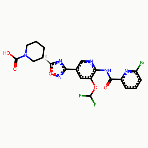 O=C(Nc1ncc(-c2noc([C@H]3CCCN(C(=O)O)C3)n2)cc1OC(F)F)c1cccc(Br)n1